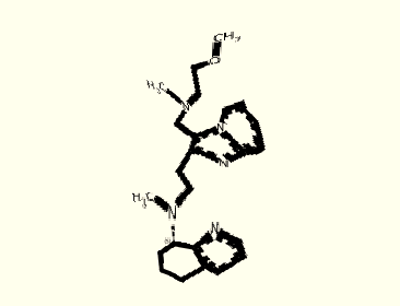 COCCN(C)Cc1c(CCN(C)[C@H]2CCCc3cccnc32)nc2ccccn12